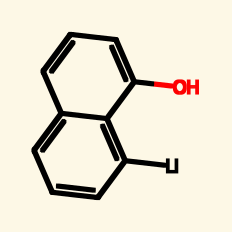 [Li][c]1cccc2cccc(O)c12